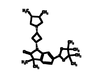 C[C@@H]1CN([C@H]2C[C@@H](N3C(=O)C(C)(C)c4ccc(B5OC(C)(C)C(C)(C)O5)cc43)C2)C[C@@H]1C